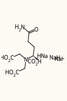 NC(=O)CC[C@@H](C(=O)O)N(CC(=O)O)CC(=O)O.[NaH].[NaH].[NaH]